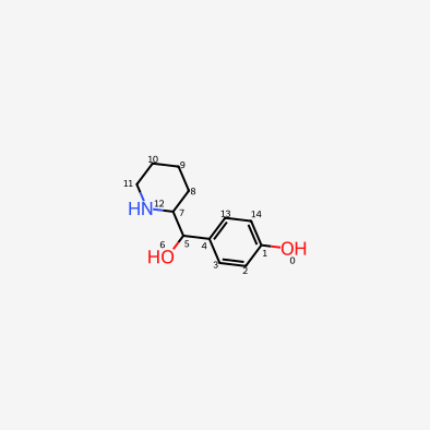 Oc1ccc(C(O)C2CCCCN2)cc1